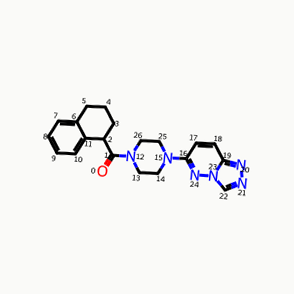 O=C(C1CCCc2ccccc21)N1CCN(c2ccc3nncn3n2)CC1